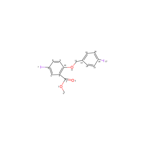 COC(=O)c1cc(I)ccc1OCc1ccc(I)cc1